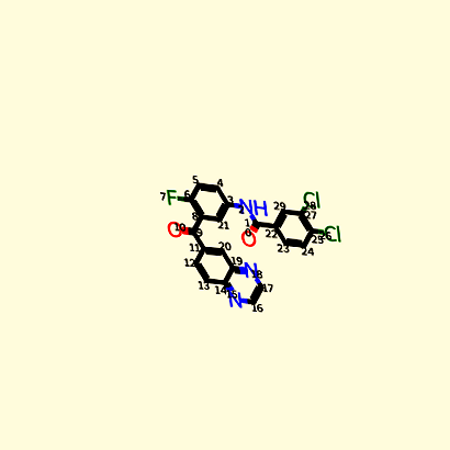 O=C(Nc1ccc(F)c(C(=O)c2ccc3nccnc3c2)c1)c1ccc(Cl)c(Cl)c1